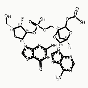 Nc1nc2c(ncn2[C@@H]2S[C@H](CO)[C@H](F)[C@H]2OP(=O)(S)OC[C@@]23C[C@@H](OC2O[PH](=O)S)[C@H](n2cnc4c(N)ncnc42)O3)c(=O)[nH]1